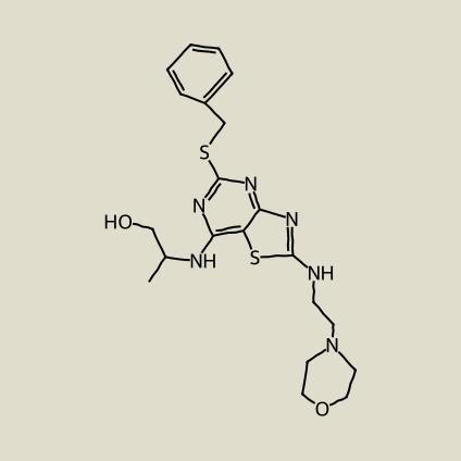 CC(CO)Nc1nc(SCc2ccccc2)nc2nc(NCCN3CCOCC3)sc12